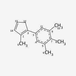 CC1=C(c2cc(C)c(C)c(C)c2)CC=C1